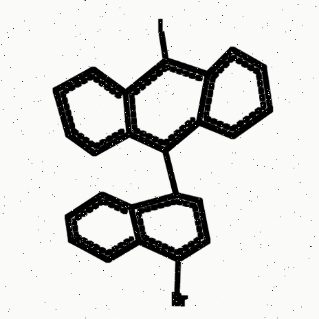 Brc1ccc(-c2c3ccccc3c(I)c3ccccc23)c2ccccc12